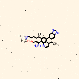 CCC1C=CNc2c(/C(N)=C/CO)c(C(C)CCCCN(C)C)cc(C3=CC4N=CNC4C=C3)c21